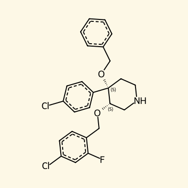 Fc1cc(Cl)ccc1CO[C@H]1CNCC[C@]1(OCc1ccccc1)c1ccc(Cl)cc1